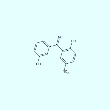 N=C(c1cccc(O)c1)c1cc([N+](=O)[O-])ccc1O